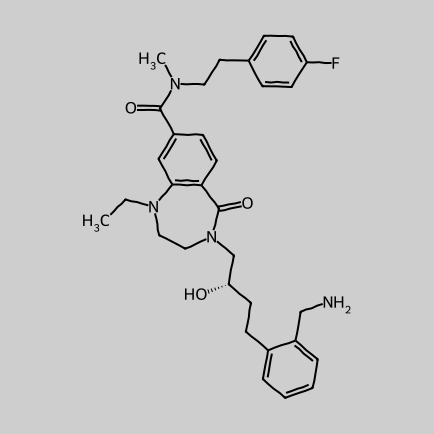 CCN1CCN(C[C@@H](O)CCc2ccccc2CN)C(=O)c2ccc(C(=O)N(C)CCc3ccc(F)cc3)cc21